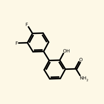 NC(=O)c1cccc(-c2ccc(F)c(F)c2)c1O